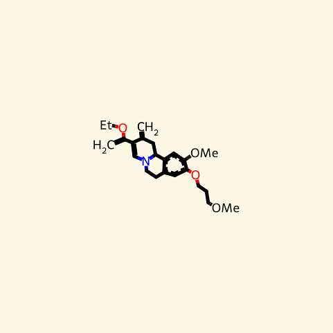 C=C1CC2c3cc(OC)c(OCCCOC)cc3CCN2C=C1C(=C)OCC